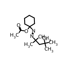 CC(=O)OC1(/N=N/C(C)(C)CC(C)(C)C)CCCCC1